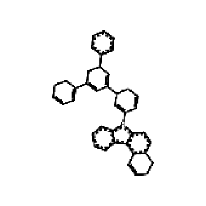 C1=CCCC(C2=CC(C3C=C(n4c5ccccc5c5c6c(ccc54)CCC=C6)C=CC3)=CC(c3ccccc3)C2)=C1